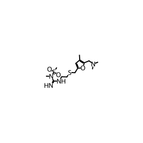 Cc1cc(CSCCNC(=N)N(C)S(C)(=O)=O)oc1CN(C)C